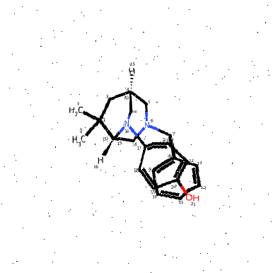 CC1(C)C[C@H]2CN(Cc3ccccc3)C[C@H]1N(c1ccc(O)cc1)C2